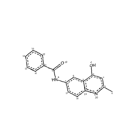 Cc1cc(O)c2cc(NC(=O)c3ccccc3)ccc2n1